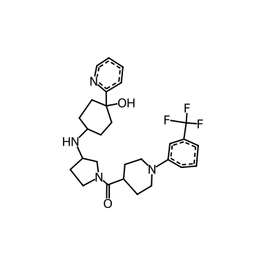 O=C(C1CCN(c2cccc(C(F)(F)F)c2)CC1)N1CCC(NC2CCC(O)(c3ccccn3)CC2)C1